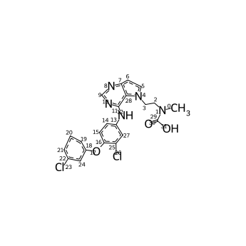 CN(CCn1ccc2ncnc(Nc3ccc(Oc4cccc(Cl)c4)c(Cl)c3)c21)C(=O)O